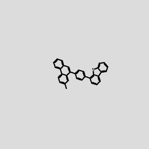 Cc1ccc2c(c1)c(-c1ccc(-c3cccc4c3sc3ccccc34)cc1)cc1ccccc12